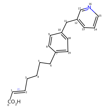 O=C(O)/C=C/CCCCc1ccc(Cc2cccnc2)cc1